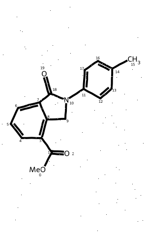 COC(=O)c1cccc2c1CN(c1ccc(C)cc1)C2=O